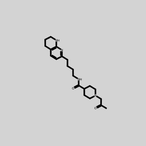 CC(=O)CN1CCC(C(=O)NCCCCc2ccc3c(n2)NCCC3)CC1